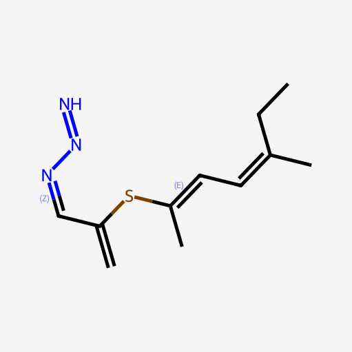 C=C(/C=N\N=N)S/C(C)=C/C=C(C)CC